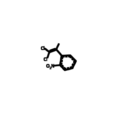 CC(=C(Cl)Cl)c1ccccc1[N+](=O)[O-]